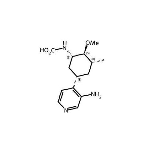 CO[C@H]1[C@H](C)C[C@H](c2ccncc2N)C[C@@H]1NC(=O)O